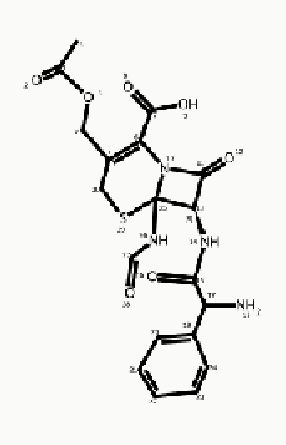 CC(=O)OCC1=C(C(=O)O)N2C(=O)[C@@H](NC(=O)C(N)c3ccccc3)C2(NC=O)SC1